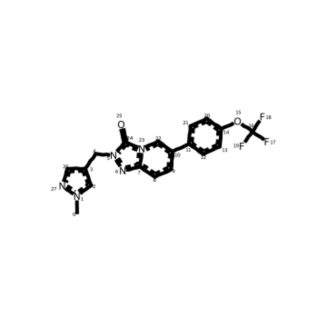 Cn1cc(Cn2nc3ccc(-c4ccc(OC(F)(F)F)cc4)cn3c2=O)cn1